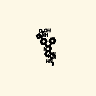 CCNc1nnc2c3cc(-c4ccccc4)c(-c4ccc(C5(NC(=O)O)CCC5)cc4)nc3ccn12